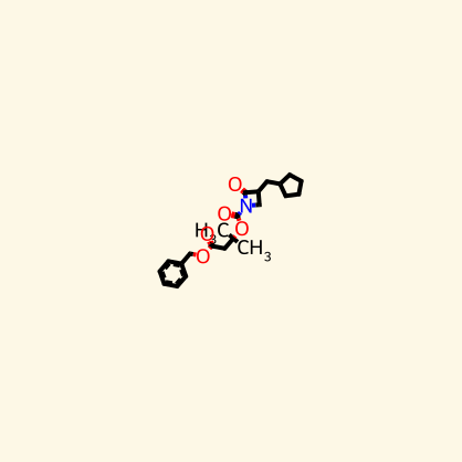 CC(C)(CC(=O)OCc1ccccc1)OC(=O)N1CC(CC2CCCC2)C1=O